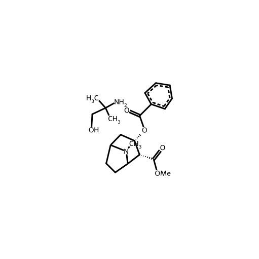 CC(C)(N)CO.COC(=O)[C@@H]1C2CCC(C[C@@H]1OC(=O)c1ccccc1)N2C